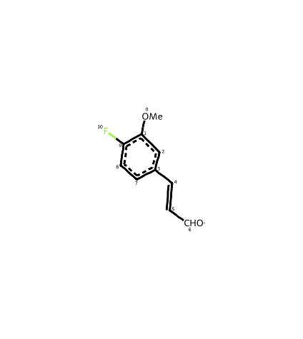 COc1cc(/C=C/[C]=O)ccc1F